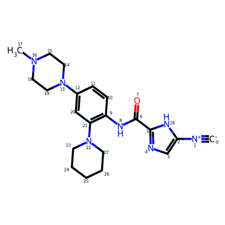 [C-]#[N+]c1cnc(C(=O)Nc2ccc(N3CCN(C)CC3)cc2N2CCCCC2)[nH]1